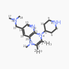 [2H]C1=C([2H])N(C2CCNCC2)c2ncc(CN(C)C)cc2N1C